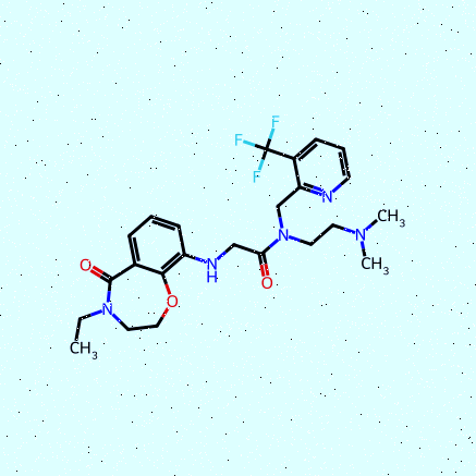 CCN1CCOc2c(NCC(=O)N(CCN(C)C)Cc3ncccc3C(F)(F)F)cccc2C1=O